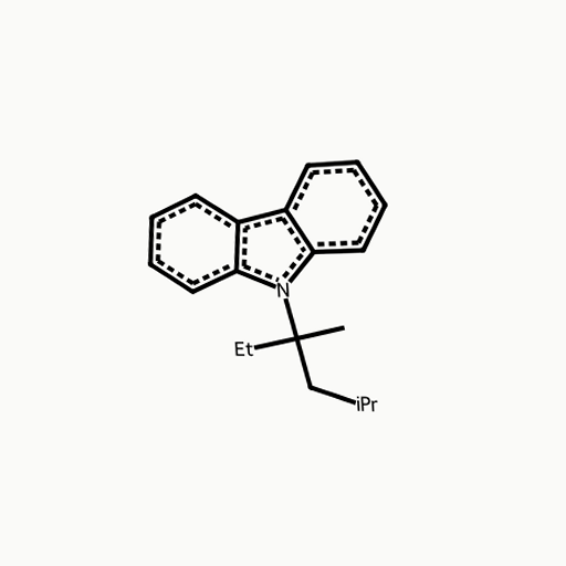 CCC(C)(CC(C)C)n1c2ccccc2c2ccccc21